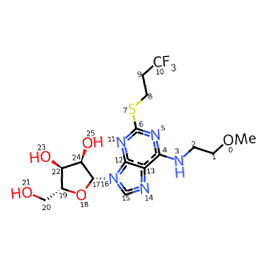 COCCNc1nc(SCCC(F)(F)F)nc2c1ncn2[C@@H]1O[C@H](CO)[C@@H](O)[C@H]1O